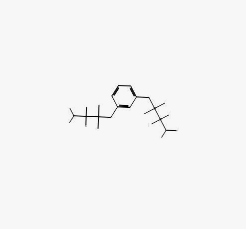 CC(C)(Cc1cccc(CC(C)(C)C(F)(F)C(F)F)c1)C(F)(F)C(F)F